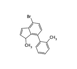 Cc1ccccc1-c1ccc(Br)c2c1C(C)C=C2